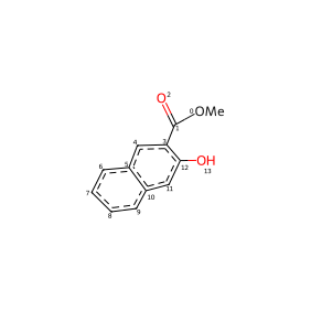 COC(=O)c1cc2ccccc2cc1O